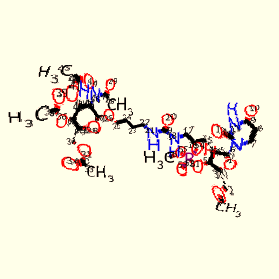 COC[C@H]1O[C@@H](n2ccc(=O)[nH]c2=O)[C@@H](CCCNC(=O)NCCCCO[C@@H]2O[C@H](COC(C)=O)[C@H](OC(C)=O)[C@H](OC(C)=O)[C@H]2NC(C)=O)C1OP(=O)(O)OC